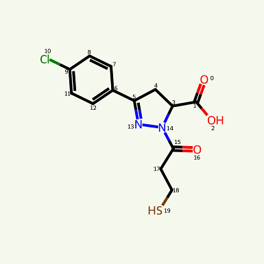 O=C(O)C1CC(c2ccc(Cl)cc2)=NN1C(=O)CCS